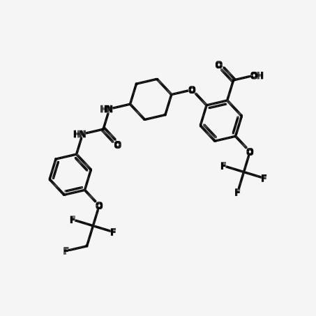 O=C(Nc1cccc(OC(F)(F)CF)c1)NC1CCC(Oc2ccc(OC(F)(F)F)cc2C(=O)O)CC1